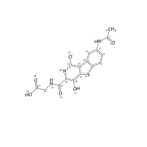 CC(=O)Nc1ccc2sc3c(O)c(C(=O)NCC(=O)O)nc(Cl)c3c2c1